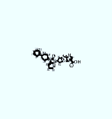 Cn1c(C(=O)O)cnc1CN1CC[C@H](n2c(=O)n(C3CCC(c4ccccc4)CC3)c3cccnc32)C1